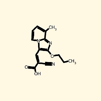 CCCOc1nc2c(C)cccn2c1C=C(C#N)C(=O)O